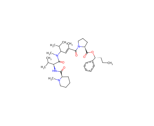 CCC[C@@H](OC(=O)[C@@H]1CCCN1C(=O)/C(C)=C/C(C(C)C)N(C)C(=O)[C@@H](NC(=O)[C@H]1CCCCN1C)C(C)C)c1ccccc1